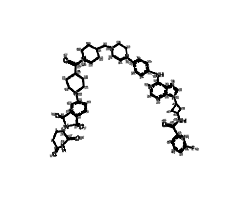 O=C1CC[C@H](N2C(=O)c3ccc(N4CCC(C(=O)N5CCC(CN6CCN(c7ccc(Nc8ncnc9c8ncn9C8CC(NC(=O)c9cccc(F)n9)C8)cc7)CC6)CC5)CC4)cc3C2=O)C(=O)N1